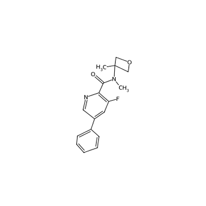 CN(C(=O)c1ncc(-c2ccccc2)cc1F)C1(C)COC1